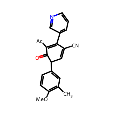 COc1ccc(C2C=C(C#N)C(c3cccnc3)=C(C(C)=O)C2=O)cc1C